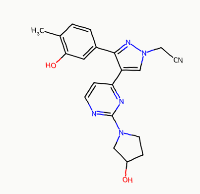 Cc1ccc(-c2nn(CC#N)cc2-c2ccnc(N3CCC(O)C3)n2)cc1O